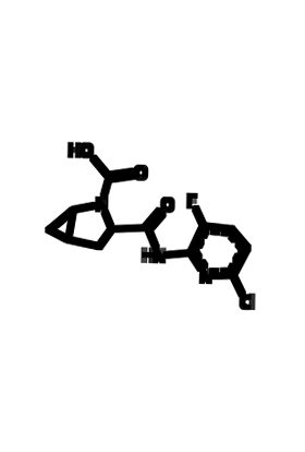 O=C(Nc1nc(Cl)ccc1F)C1CC2CC2N1C(=O)O